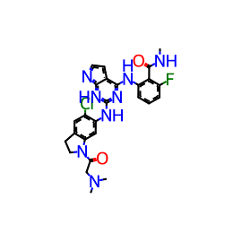 CNC(=O)c1c(F)cccc1Nc1nc(Nc2cc3c(cc2Cl)CCN3C(=O)CN(C)C)[nH]c2nccc1-2